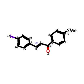 CSc1ccc(C(=O)/C=C/c2ccc(I)cc2)cc1